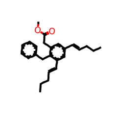 CCC/C=C/c1cc(/C=C/CCC)c(Cc2ccccc2)c(CC(=O)OC)c1